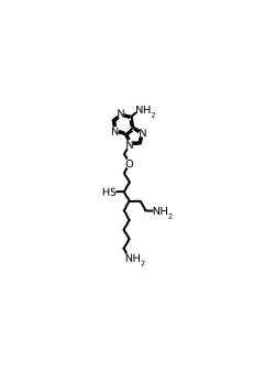 NCCCCCC(CCN)C(S)CCOCn1cnc2c(N)ncnc21